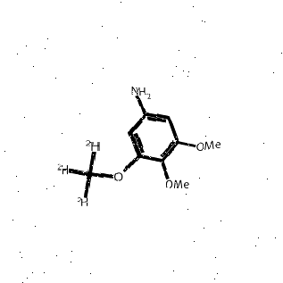 [2H]C([2H])([2H])Oc1cc(N)cc(OC)c1OC